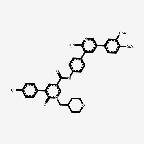 COc1ccc(-c2cnc(N)c(-c3ccc(NC(=O)c4cc(-c5ccc(C)cc5)c(=O)n(CC5CCOCC5)c4)cc3)c2)cc1OC